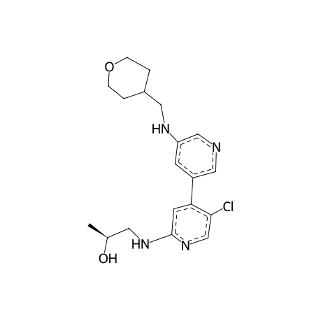 C[C@H](O)CNc1cc(-c2cncc(NCC3CCOCC3)c2)c(Cl)cn1